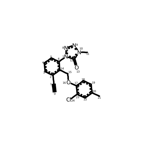 C#Cc1cccc(-n2nnn(C)c2=O)c1COc1ccc(C)cc1Cl